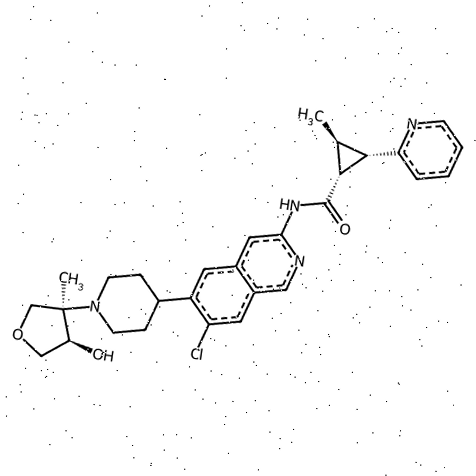 C[C@@H]1[C@@H](C(=O)Nc2cc3cc(C4CCN([C@]5(C)COC[C@@H]5O)CC4)c(Cl)cc3cn2)[C@H]1c1ccccn1